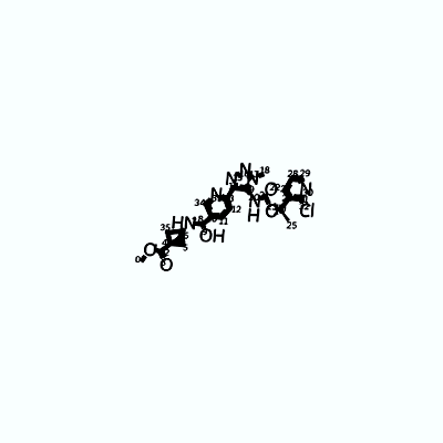 COC(=O)C12CC(NC(O)c3ccc(-c4nnn(C)c4NC(=O)O[C@H](C)c4cccnc4Cl)nc3)(C1)C2